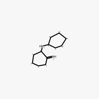 N=C1CCCCC1NC1CCCCC1